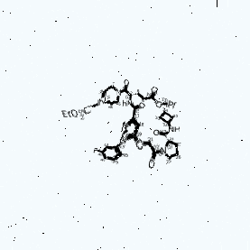 CCOC(=O)N1CCN(C(=O)[C@H](CCC(=O)OC(C)C)NC(=O)c2cc(OCC(=O)N3CCC[C@H]3C(=O)NC3CCC3)n(-c3cccc(F)c3)n2)CC1